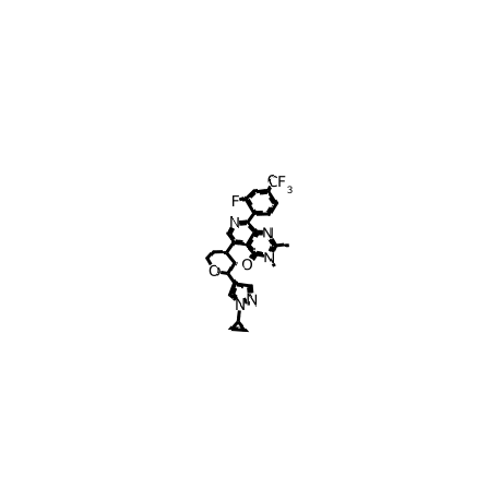 Cc1nc2c(-c3ccc(C(F)(F)F)cc3F)ncc(C3CCOC(c4cnn(C5CC5)c4)C3)c2c(=O)n1C